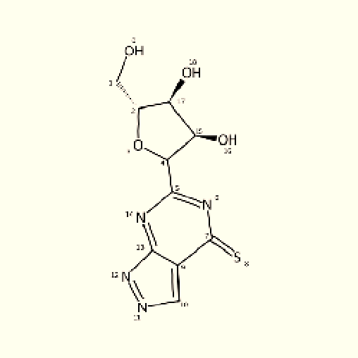 OC[C@H]1OC(C2=NC(=S)C3=CN=NC3=N2)[C@H](O)[C@@H]1O